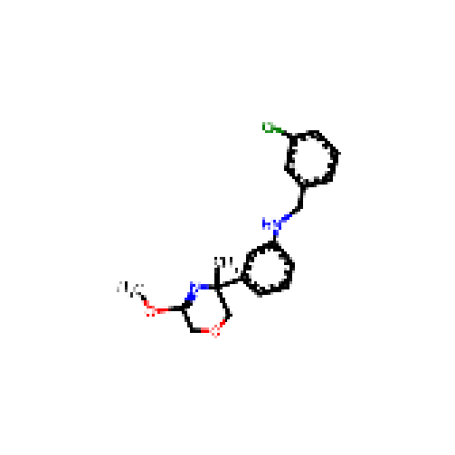 COC1=NC(C)(c2cccc(NCc3cccc(Cl)c3)c2)COC1